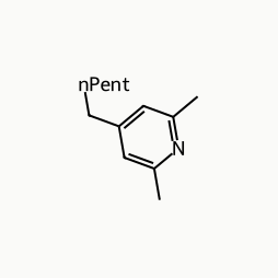 CCCCCCc1cc(C)nc(C)c1